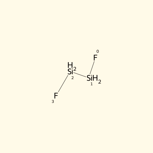 F[SiH2][SiH2]F